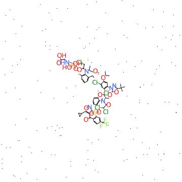 CC(C)Oc1cc(-n2nc(C(C)(C)C)oc2=O)c(Cl)cc1Cl.CC1COc2ccccc2N1C(=O)C(Cl)Cl.CCc1cccc(C)c1N(C(=O)CCl)C(C)COC.CS(=O)(=O)c1cc(C(F)(F)F)ccc1C(=O)c1cnoc1C1CC1.O=C(O)CNCP(=O)(O)O